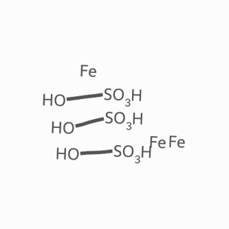 O=S(=O)(O)O.O=S(=O)(O)O.O=S(=O)(O)O.[Fe].[Fe].[Fe]